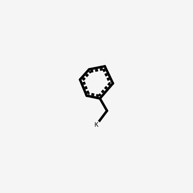 [K][CH2]c1ccccc1